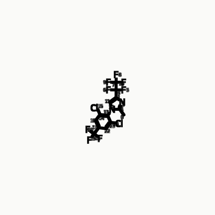 Cc1nc(C(F)(F)C(F)(F)F)cn1-c1c(Cl)cc(C(F)(F)F)cc1Cl